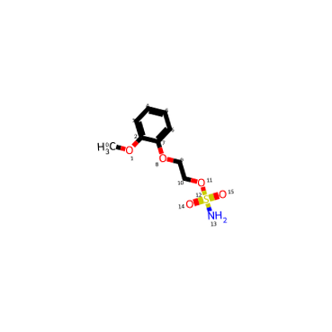 COc1ccccc1OCCOS(N)(=O)=O